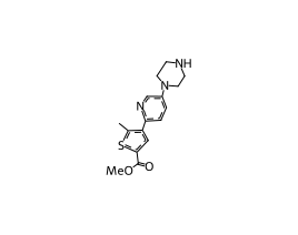 COC(=O)c1cc(-c2ccc(N3CCNCC3)cn2)c(C)s1